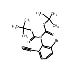 CC(C)(C)OC(=O)N(C(=O)OC(C)(C)C)c1c(Br)cccc1C#N